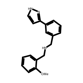 COc1ccccc1CNCc1cccc(-c2cc[nH]n2)c1